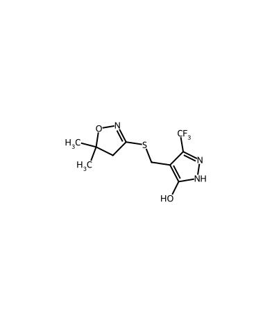 CC1(C)CC(SCc2c(C(F)(F)F)n[nH]c2O)=NO1